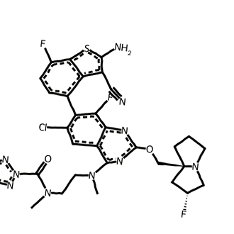 CN(CCN(C)c1nc(OC[C@@]23CCCN2C[C@H](F)C3)nc2c(F)c(-c3ccc(F)c4sc(N)c(C#N)c34)c(Cl)cc12)C(=O)n1nccn1